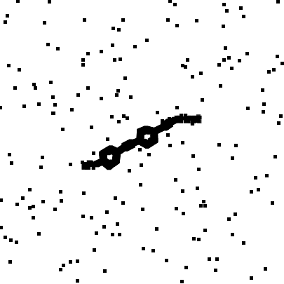 CCCCCCCC#Cc1ccc(C#Cc2ccc(CCC)cc2)cc1